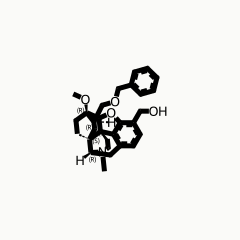 CO[C@]12CC[C@@]3(C[C@@H]1COCc1ccccc1)[C@H]1Cc4ccc(CO)c5c4[C@@]3(CCN1C)C2O5